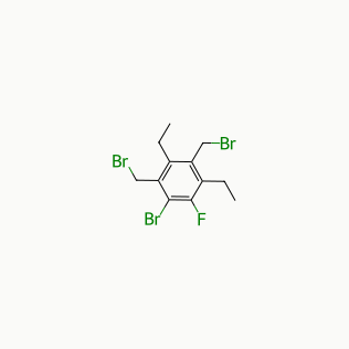 CCc1c(F)c(Br)c(CBr)c(CC)c1CBr